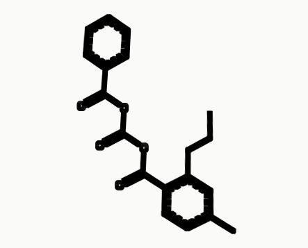 CCCc1cc(C)ccc1C(=O)OC(=O)OC(=O)c1ccccc1